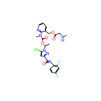 CNCC(=O)OCc1cccnc1N(C)C(=O)OC(C)n1nc(C(=O)Nc2ccc(F)cc2F)cc1Cl